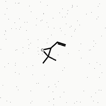 C=CC1OC1(C)C